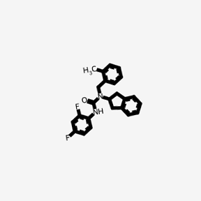 Cc1ccccc1CN(C(=O)Nc1ccc(F)cc1F)C1Cc2ccccc2C1